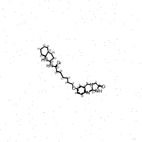 O=C1CN2Cc3cc(OCCCCCCC(=O)NC4CCC5CCCCC5N4)ccc3N=C2N1